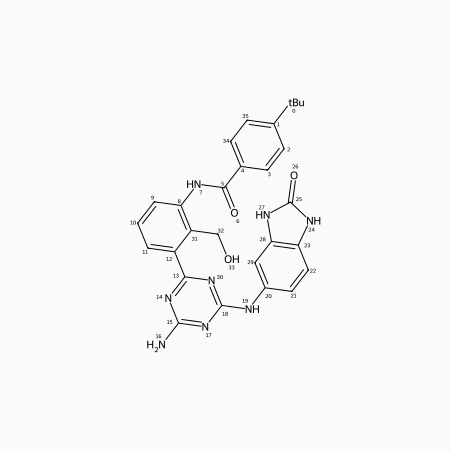 CC(C)(C)c1ccc(C(=O)Nc2cccc(-c3nc(N)nc(Nc4ccc5[nH]c(=O)[nH]c5c4)n3)c2CO)cc1